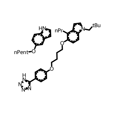 CCCCCOc1ccc2[nH]ccc2c1.CCCc1c(OCCCCOc2ccc(-c3nnn[nH]3)cc2)ccc2c1ccn2CC(C)(C)C